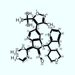 BC(B)(B)c1onc(C)c1-c1cnc2/c(=C(/N=C\C)OC)c(=C=O)n(C(c3ncccc3F)C3CCOCC3)c2c1